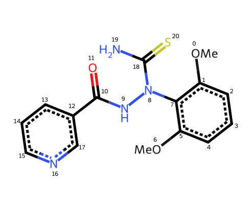 COc1cccc(OC)c1N(NC(=O)c1cccnc1)C(N)=S